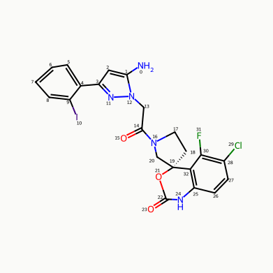 Nc1cc(-c2ccccc2I)nn1CC(=O)N1CC[C@@]2(C1)OC(=O)Nc1ccc(Cl)c(F)c12